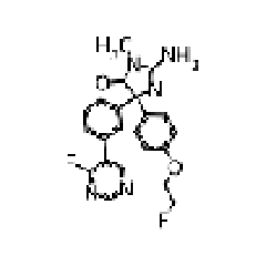 CN1C(=O)[C@@](c2ccc(OCCF)cc2)(c2cccc(-c3cncnc3F)c2)N=C1N